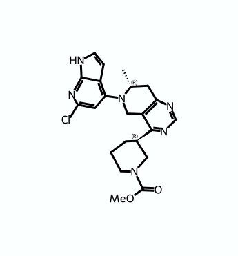 COC(=O)N1CCC[C@@H](c2ncnc3c2CN(c2cc(Cl)nc4[nH]ccc24)[C@H](C)C3)C1